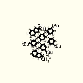 CC1(C)Cc2cccc(N3c4cc(C(C)(C)C)ccc4B4c5cc(N(c6ccc(C(C)(C)C)cc6)c6ccc(C(C)(C)C)cc6)c(C(C)(C)C)cc5N(c5cccc6c5CC(C)(C)C6)c5cc(C(C)(C)C)cc3c54)c2C1